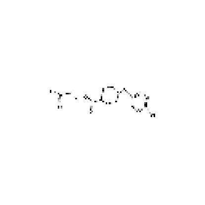 O=C(O)NCOC(=O)C1CCC(Cc2ccc(Cl)cc2)CC1